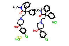 CN(C)C(=O)C(CCN1CCC(O)(c2ccc(Cl)cc2)CC1)(c1ccccc1)c1ccccc1.CN(C)C(=O)C(CCN1CCC(O)(c2ccc(Cl)cc2)CC1)(c1ccccc1)c1ccccc1.Cl.Cl.S